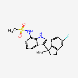 CCCCC1(c2c[nH]c3c(NS(C)(=O)=O)cccc23)CCc2cc(F)ccc21